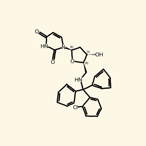 O=c1ccn([C@H]2C[C@H](O)[C@@H](CNC(c3ccccc3)(c3ccccc3)c3ccccc3Cl)O2)c(=O)[nH]1